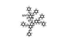 COc1c(F)c(C(=O)O[C@@H]2Cc3c(OCc4ccccc4)cc(OCc4ccccc4)cc3O[C@H]2c2ccc(OCc3ccccc3)c(OCc3ccccc3)c2)c(F)c(OCc2ccccc2)c1OCc1ccccc1